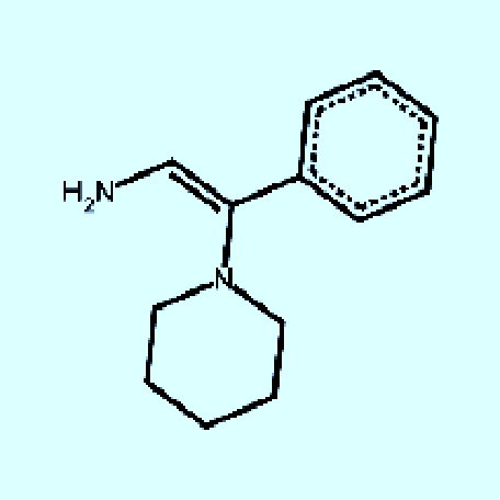 NC=C(c1ccccc1)N1CCCCC1